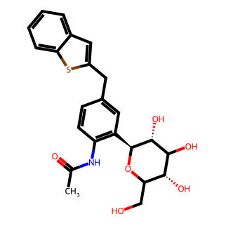 CC(=O)Nc1ccc(Cc2cc3ccccc3s2)cc1[C@@H]1OC(CO)[C@@H](O)C(O)[C@H]1O